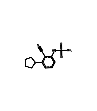 N#Cc1c(NS(N)(=O)=O)cccc1N1CCCC1